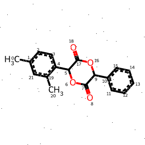 Cc1ccc(C2OC(=O)C(c3ccccc3)OC2=O)c(C)c1